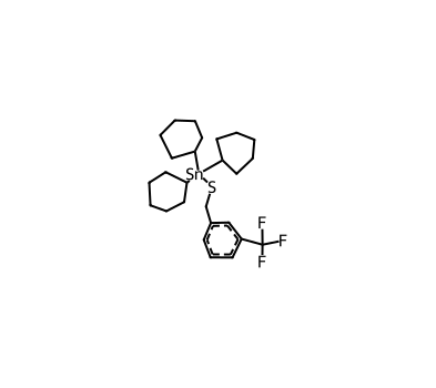 FC(F)(F)c1cccc(C[S][Sn]([CH]2CCCCC2)([CH]2CCCCC2)[CH]2CCCCC2)c1